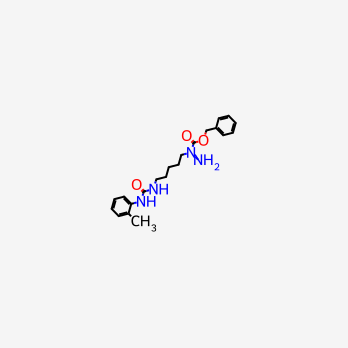 Cc1ccccc1NC(=O)NCCCCCN(N)C(=O)OCc1ccccc1